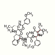 COc1cccc(C(=O)N[C@@H](CC(C)C)C(=O)NC(Cc2ccccc2C2CC2NC(=O)C(=O)C(Cc2ccccc2)NC(=O)[C@@H](NC(=O)c2cccc(OC)c2)C(C)C)C(=O)C(=O)NC2CC2)c1